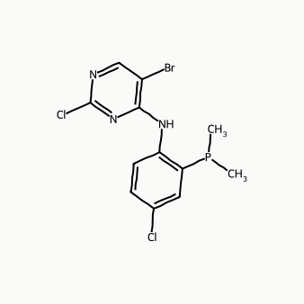 CP(C)c1cc(Cl)ccc1Nc1nc(Cl)ncc1Br